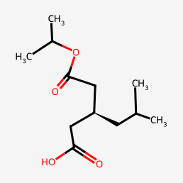 CC(C)C[C@@H](CC(=O)O)CC(=O)OC(C)C